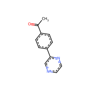 CC(=O)c1ccc(-c2cnccn2)cc1